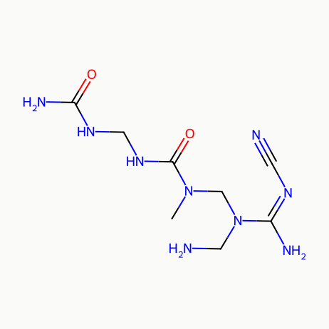 CN(CN(CN)/C(N)=N\C#N)C(=O)NCNC(N)=O